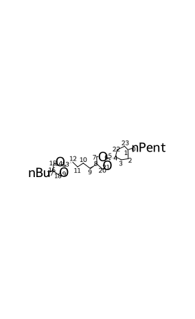 CCCCCC1CCC([C@H]2OC[C@H](CCCC[C@H]3OC[C@H](CCCC)CO3)CO2)CC1